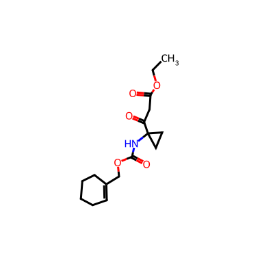 CCOC(=O)CC(=O)C1(NC(=O)OCC2=CCCCC2)CC1